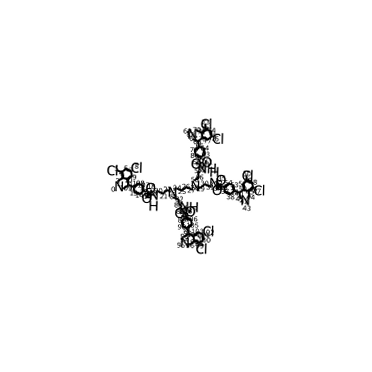 CN1Cc2c(Cl)cc(Cl)cc2C(c2ccc(S(=O)(=O)NCCCN(CCCCN(CCCNS(=O)(=O)c3ccc(C4CN(C)Cc5c(Cl)cc(Cl)cc54)cc3)CCCNS(=O)(=O)c3ccc(C4CN(C)Cc5c(Cl)cc(Cl)cc54)cc3)CCCNS(=O)(=O)c3ccc(C4CN(C)Cc5c(Cl)cc(Cl)cc54)cc3)cc2)C1